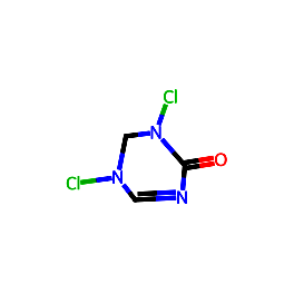 O=C1N=CN(Cl)CN1Cl